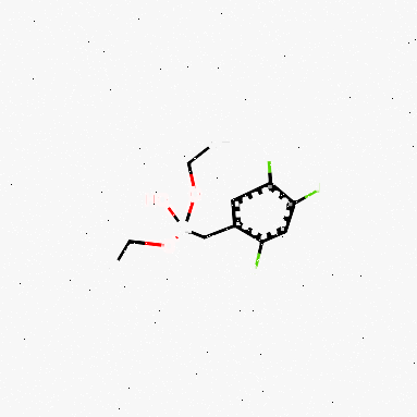 CCO[Si](O)(Cc1cc(F)c(F)cc1F)OCC